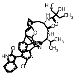 CCC(O)(CC)C(=O)N[C@H]1Cc2ccc3c(c2)C2(c4ccccc4NC2O3)c2oc(nc2-c2nc(Cl)c(-c3c(Cl)[nH]c4ccccc34)o2)[C@H](C(C)C)NC1=O